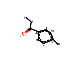 [CH2]c1ccc(C(=O)CC)cc1